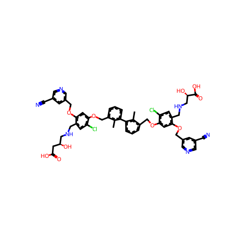 Cc1c(COc2cc(OCc3cncc(C#N)c3)c(CNC[C@@H](O)CC(=O)O)cc2Cl)cccc1-c1cccc(COc2cc(OCc3cncc(C#N)c3)c(CNC[C@@H](O)C(=O)O)cc2Cl)c1C